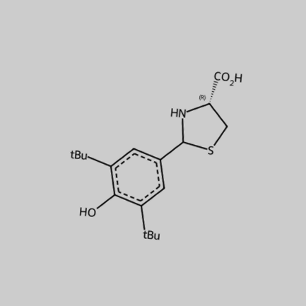 CC(C)(C)c1cc(C2N[C@H](C(=O)O)CS2)cc(C(C)(C)C)c1O